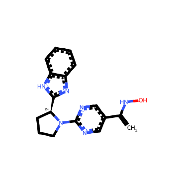 C=C(NO)c1cnc(N2CCC[C@H]2c2nc3ccccc3[nH]2)nc1